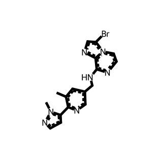 Cc1cc(CNc2nccn3c(Br)cnc23)cnc1-c1ccnn1C